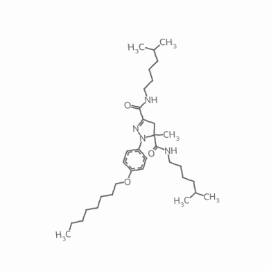 CCCCCCCCOc1ccc(N2N=C(C(=O)NCCCCC(C)C)CC2(C)C(=O)NCCCCC(C)C)cc1